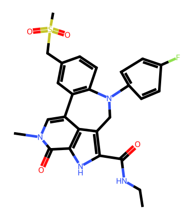 CCNC(=O)c1[nH]c2c(=O)n(C)cc3c2c1CN(c1ccc(F)cc1)c1ccc(CS(C)(=O)=O)cc1-3